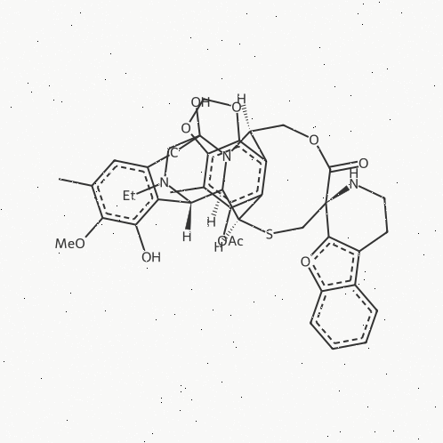 CCN1CC2(O)Cc3cc(C)c(OC)c(O)c3[C@H]1[C@@H]1[C@@H]3SC[C@]4(NCCc5c4oc4ccccc54)C(=O)OC[C@@H](c4c5c(c(C)c(OC(C)=O)c43)OCO5)N12